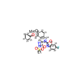 CCS(=O)(=O)NC(=O)[C@@H]1Cc2c(ccc(OC)c2COc2ccccc2)CN1c1nc2ccc(F)cc2o1